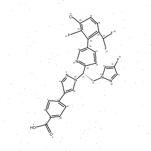 O=C(O)c1ccc(-c2cnn([C@@H](Cn3cc(F)cn3)c3ccc(-c4c(C(F)F)ccc(Cl)c4F)cn3)c2)cc1